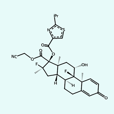 CC(C)c1nc(C(=O)O[C@@]2(C(=O)OCC#N)[C@@]3(C)C[C@H](O)[C@@]4(F)[C@@H](CCC5=CC(=O)C=C[C@@]54C)[C@@H]3C[C@@]2(C)F)cs1